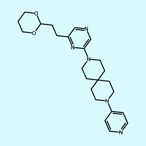 c1cc(N2CCC3(CC2)CCN(c2cncc(CCC4OCCCO4)n2)CC3)ccn1